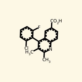 Cc1nc2ccc(C(=O)O)cc2c(-c2c(F)cccc2Cl)c1C